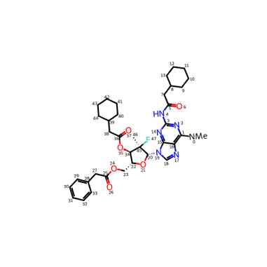 CNc1nc(NC(=O)CC2CCCCC2)nc2c1ncn2[C@@H]1O[C@H](COC(=O)Cc2ccccc2)[C@@H](OC(=O)CC2CCCCC2)[C@@]1(C)F